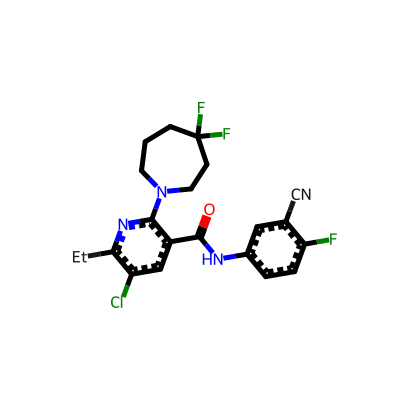 CCc1nc(N2CCCC(F)(F)CC2)c(C(=O)Nc2ccc(F)c(C#N)c2)cc1Cl